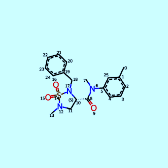 Cc1cccc(N(C)C(=O)[C@@H]2CN(C)S(=O)(=O)N2Cc2ccccc2)c1